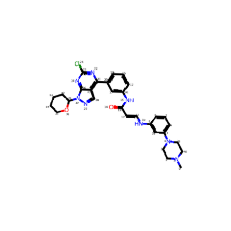 CN1CCN(c2cccc(N/C=C/C(=O)Nc3cccc(-c4nc(Cl)nc5c4cnn5C4CCCCO4)c3)c2)CC1